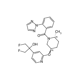 C[C@@H]1CC[C@@H](Oc2cc(C(O)(CF)CF)ccn2)CN1C(=O)c1ccccc1-n1nccn1